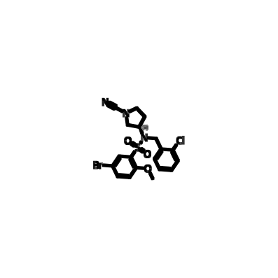 COc1ccc(Br)cc1S(=O)(=O)N(Cc1ccccc1Cl)[C@@H]1CCN(C#N)C1